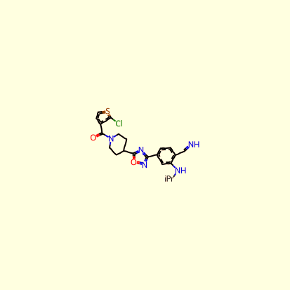 CC(C)Nc1cc(-c2noc(C3CCN(C(=O)c4ccsc4Cl)CC3)n2)ccc1C=N